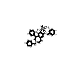 CS(=O)(=O)Nc1cc2c(cc1OCc1ccccc1)CCN(Cc1ccccc1)CC2c1ccccc1